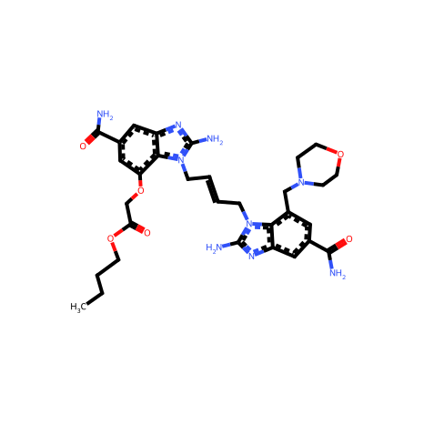 CCCCOC(=O)COc1cc(C(N)=O)cc2nc(N)n(C/C=C/Cn3c(N)nc4cc(C(N)=O)cc(CN5CCOCC5)c43)c12